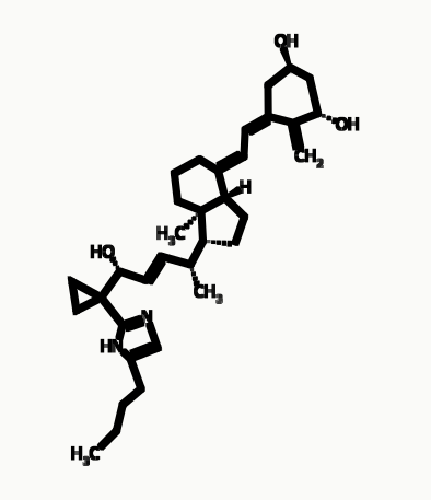 C=C1/C(=C\C=C2/CCC[C@]3(C)[C@@H]([C@H](C)/C=C/[C@@H](O)C4(c5ncc(CCCC)[nH]5)CC4)CC[C@@H]23)C[C@@H](O)C[C@@H]1O